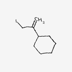 C=C(CI)C1CCCCC1